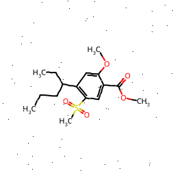 CCCC(CC)c1cc(OC)c(C(=O)OC)cc1S(C)(=O)=O